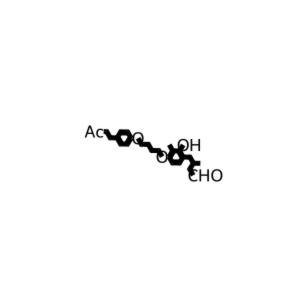 CC(=O)CCc1ccc(OCCCCOc2ccc(CC(C)CC=O)c(O)c2C)cc1